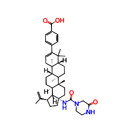 C=C(C)[C@@H]1CC[C@]2(NC(=O)N3CCNC(=O)C3)CC[C@]3(C)[C@H](CC[C@@H]4[C@@]5(C)CC=C(c6ccc(C(=O)O)cc6)C(C)(C)[C@@H]5CC[C@]43C)[C@@H]12